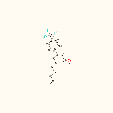 CCCCCCCC(CC=O)c1ccc(C(F)(F)F)cc1